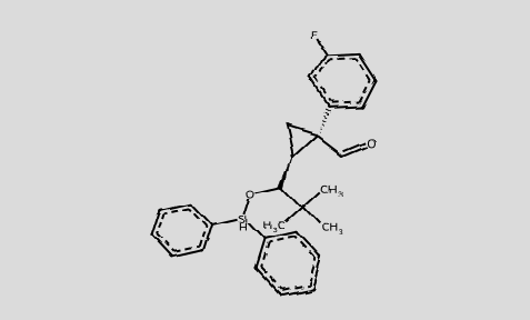 CC(C)(C)C(O[SiH](c1ccccc1)c1ccccc1)[C@H]1C[C@]1(C=O)c1cccc(F)c1